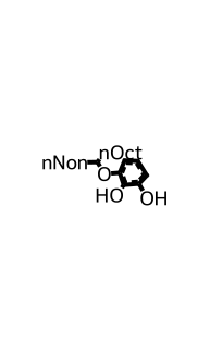 CCCCCCCCCC(CCCCCCCC)Oc1cccc(O)c1O